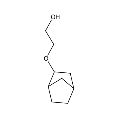 OCCOC1CC2CCC1C2